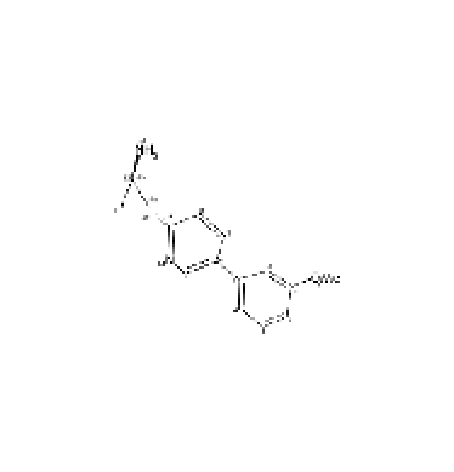 COc1cccc(-c2ccc([C@@H]3C[C@H]3N)nc2)c1